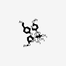 CC(=O)/C=C/c1ccc(Oc2ccc(OC(C)C)nc2)cc1.CC(C)Oc1ccc(B2OC(C)(C)C(C)(C)O2)cn1